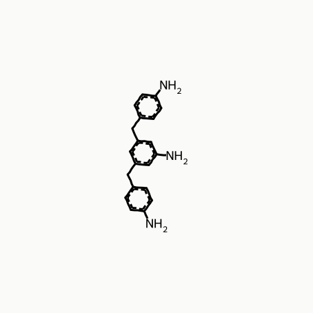 Nc1ccc(Cc2cc(N)cc(Cc3ccc(N)cc3)c2)cc1